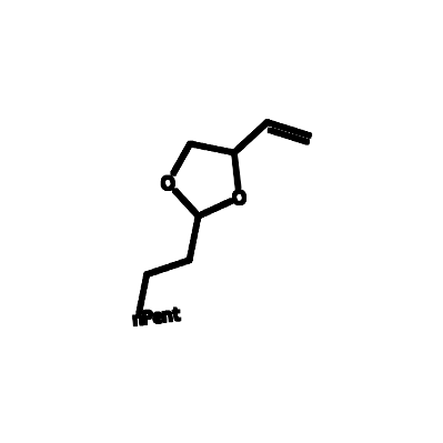 C=CC1COC(CCCCCCC)O1